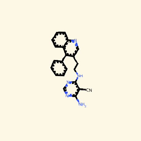 N#Cc1c(N)ncnc1NCCc1cnc2ccccc2c1-c1ccccc1